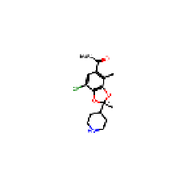 COC(=O)c1cc(Cl)c2c(c1C)O[C@](C)(C1CCNCC1)O2